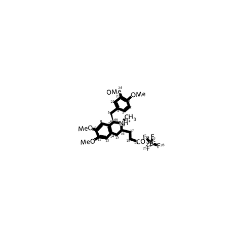 COc1ccc(C[C@@H]2c3cc(OC)c(OC)cc3CC(CCC(=O)O)[NH+]2C)cc1OC.F[B-](F)(F)F